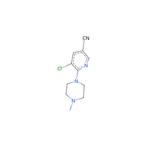 CN1CCN(c2ncc(C#N)cc2Cl)CC1